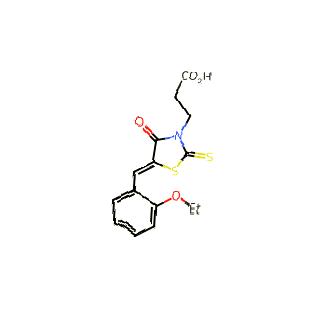 CCOc1ccccc1/C=C1\SC(=S)N(CCC(=O)O)C1=O